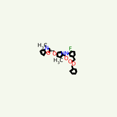 Cc1cc(OC[C@@H]2CN(C)c3ccccc3O2)ccc1C(=O)Nc1cc(CC(=O)OCc2ccccc2)ccc1F